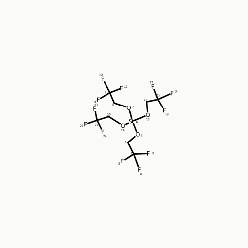 FC(F)(F)CO[Si](OCC(F)(F)F)(OCC(F)(F)F)OCC(F)(F)F